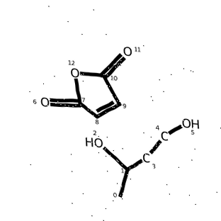 CC(O)CCO.O=C1C=CC(=O)O1